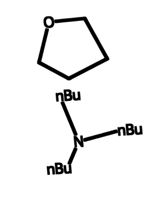 C1CCOC1.CCCCN(CCCC)CCCC